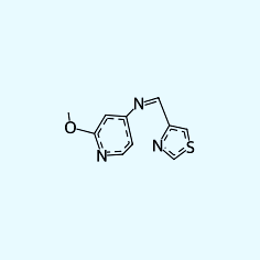 COc1cc(/N=C\c2cscn2)ccn1